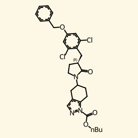 CCCCOC(=O)n1ncc2c1CCC(N1CC[C@@H](Cc3c(Cl)cc(OCc4ccccc4)cc3Cl)C1=O)C2